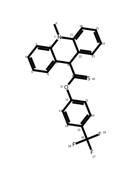 CN1c2ccccc2C(C(=S)Oc2ccc(C(F)(F)F)cc2)c2ccccc21